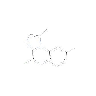 Cc1ccc2nc(Cl)c3ncc(C)n3c2c1